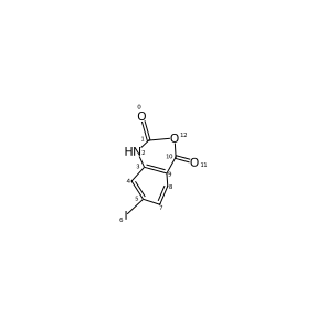 O=c1[nH]c2cc(I)ccc2c(=O)o1